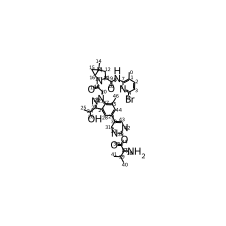 Cc1ccc(Br)nc1NC(=O)[C@@H]1C[C@@]2(C)CC2N1C(=O)Cn1nc(C(C)O)c2cc(-c3cnc(OC(=O)[C@@H](N)C(C)C)nc3)cc(C)c21